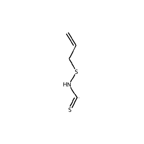 C=CCSN[C]=S